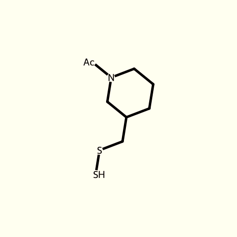 CC(=O)N1CCCC(CSS)C1